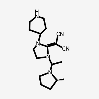 CC(N1CCN(C2CCNCC2)C1=C(C#N)C#N)N1CCC[C@@H]1C